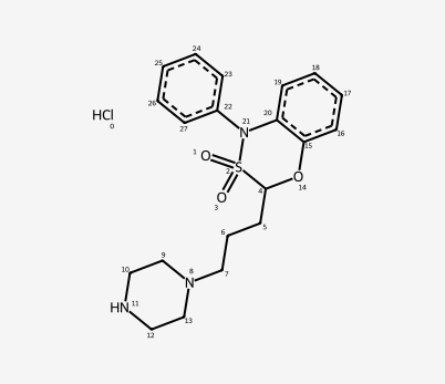 Cl.O=S1(=O)C(CCCN2CCNCC2)Oc2ccccc2N1c1ccccc1